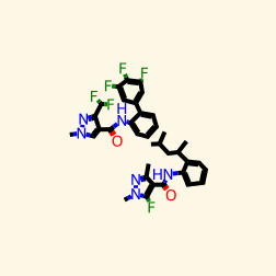 Cc1nn(C)c(F)c1C(=O)Nc1ccccc1C(C)CC(C)C.Cn1cc(C(=O)Nc2ccccc2-c2cc(F)c(F)c(F)c2)c(C(F)F)n1